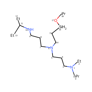 CCCN(CC)CCCN(CCCNC(CC)CC)CC[SiH2]OC(C)C